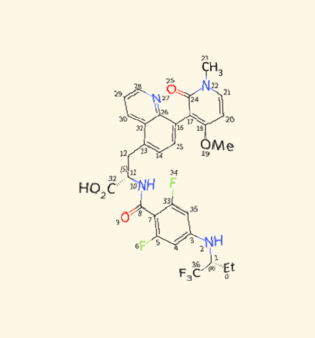 CC[C@@H](Nc1cc(F)c(C(=O)N[C@@H](Cc2ccc(-c3c(OC)ccn(C)c3=O)c3ncccc23)C(=O)O)c(F)c1)C(F)(F)F